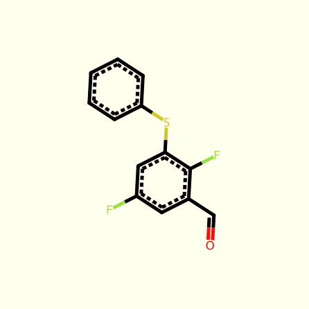 O=Cc1cc(F)cc(Sc2ccccc2)c1F